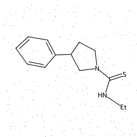 CCNC(=S)N1CCC(c2ccccc2)C1